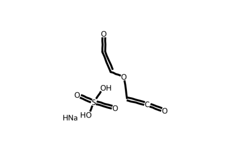 O=C=COC=C=O.O=S(=O)(O)O.[NaH]